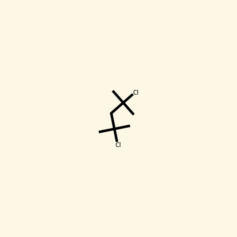 CC(C)(Cl)CC(C)(C)Cl